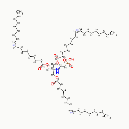 CCCCCCCC/C=C\CCCCCCCC(=O)OCC(COC(=O)CCCCCCC/C=C\CCCCCCCC)(COC(=O)CCCCCCC/C=C\CCCCCCCC)NCCS(=O)(=O)O